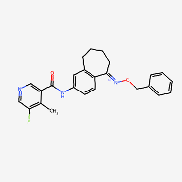 Cc1c(F)cncc1C(=O)Nc1ccc2c(c1)CCCC/C2=N\OCc1ccccc1